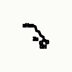 CCCCCCCCCCCC(=O)OO.[Zn]